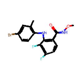 CONC(=O)c1ccc(F)c(F)c1Nc1ccc(Br)cc1C